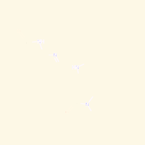 Cc1ccc2[nH]cc(C(C)N(C)C(=O)/C=C/c3cnc4c(c3)CCC(=O)N4)c2c1